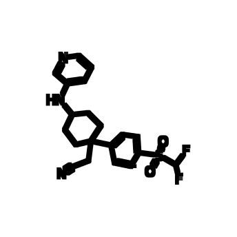 N#CCC1(c2c[c]c(S(=O)(=O)C(F)F)cc2)CCC(Nc2cccnc2)CC1